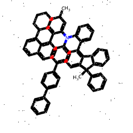 CC1C=C(N(c2ccc(-c3ccc(-c4ccccc4)cc3)cc2)c2ccccc2-c2cccc3c2-c2ccccc2C3(C)c2ccccc2)C(c2cccc3cccc(C4CCCCC4)c23)=CC1